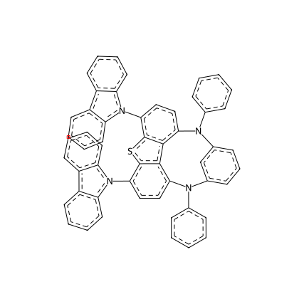 c1ccc(N2c3cccc(c3)N(c3ccccc3)c3ccc(-n4c5ccccc5c5ccccc54)c4sc5c(-n6c7ccccc7c7ccccc76)ccc2c5c34)cc1